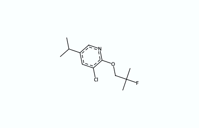 CC(C)c1cnc(OCC(C)(C)F)c(Cl)c1